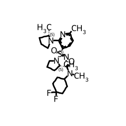 CN=[S@](=O)(c1ccc(C)nc1N1CCC[C@@H]1C)N1CCC[C@H]1C(=O)N(C)C1CCC(F)(F)CC1